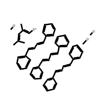 C(C=Cc1ccccc1)=Cc1ccccc1.C(C=Cc1ccccc1)=Cc1ccccc1.C(C=Cc1ccccc1)=Cc1ccccc1.CC(C)=CC(C)=[CH][Ti+3].C[O-].C[O-].C[O-]